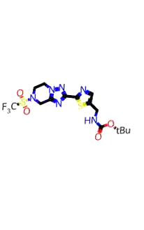 CC(C)(C)OC(=O)NCc1cnc(-c2nc3n(n2)CCN(S(=O)(=O)C(F)(F)F)C3)s1